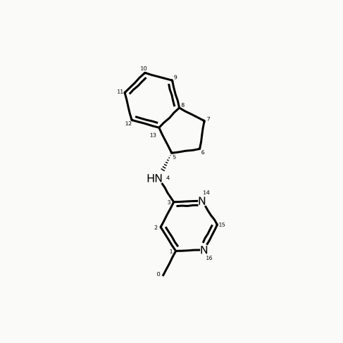 Cc1cc(N[C@H]2CCc3ccccc32)ncn1